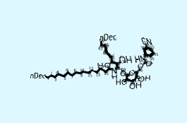 CCCCCCCCCCCCCCCCCCCCCCCCCCN[C@@H](CO[C@H]1O[C@H](COC(=O)Nc2cccc(C#N)c2)[C@H](O)[C@H](O)[C@H]1O)[C@H](O)[C@H](O)CCCCCCCCCCCCCC